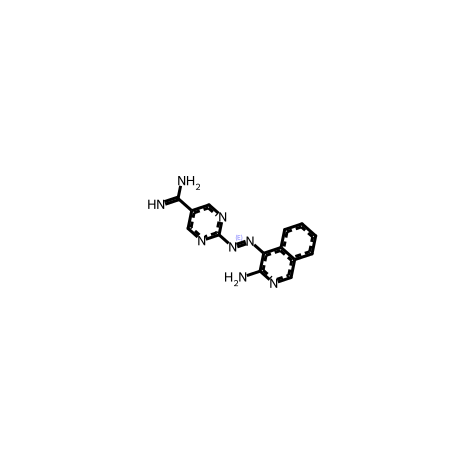 N=C(N)c1cnc(/N=N/c2c(N)ncc3ccccc23)nc1